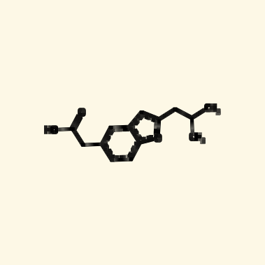 CC(C)Cc1cc2cc(CC(=O)O)ccc2o1